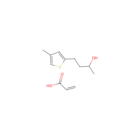 C=CC(=O)O.Cc1csc(CCC(C)O)c1